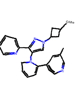 COC1CC(n2cc(N3CC=CC=C3c3cncc(C)c3)c(-c3ccccn3)n2)C1